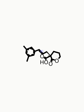 Cc1cc(C)cc(/C=C/C[C@@]2(C(=O)O)CCCOC2=O)c1